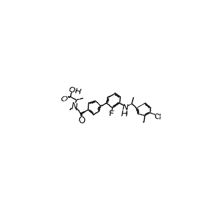 Cc1cc(C(C)Nc2cccc(-c3ccc(C(=O)N(C)C(C)C(=O)O)cc3)c2F)ccc1Cl